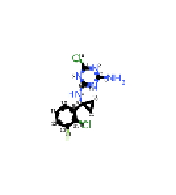 Nc1nc(Cl)nc(NC2(c3cccc(F)c3Cl)CC2)n1